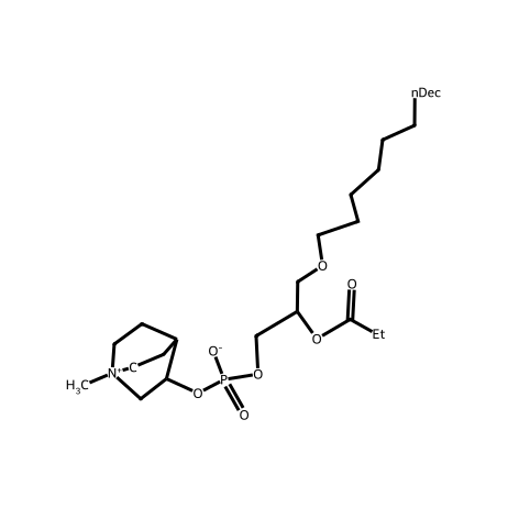 CCCCCCCCCCCCCCCCOCC(COP(=O)([O-])OC1C[N+]2(C)CCC1CC2)OC(=O)CC